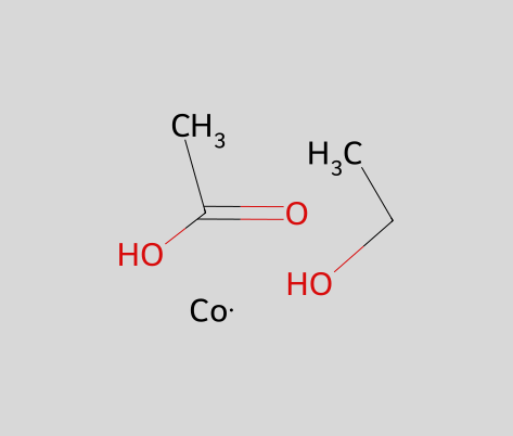 CC(=O)O.CCO.[Co]